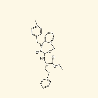 CCOC(=O)[C@H](CCc1ccccc1)NC1CCc2ccccc2N(Cc2ccc(C)cc2)C1=O